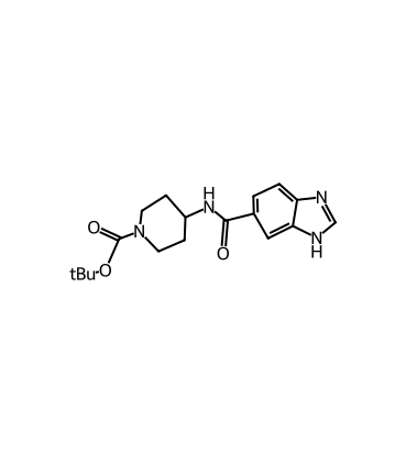 CC(C)(C)OC(=O)N1CCC(NC(=O)c2ccc3nc[nH]c3c2)CC1